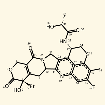 CC[C@@]1(O)C(=O)OCC2=C1CC1c3nc4cc(F)c(C)c5c4c(c3CN1C2=O)[C@H](NC(=O)[C@@H](C)O)CS5